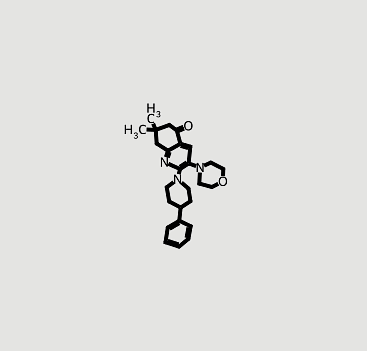 CC1(C)CC(=O)c2cc(N3CCOCC3)c(N3CCC(c4ccccc4)CC3)nc2C1